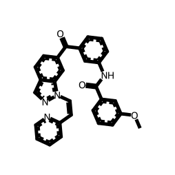 COc1cccc(C(=O)Nc2cccc(C(=O)c3ccc4cnn(C=Cc5ccccn5)c4c3)c2)c1